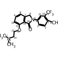 Cc1ccc(N2Cc3cccc(OCCN(C)C)c3C2=O)cc1C(F)(F)F